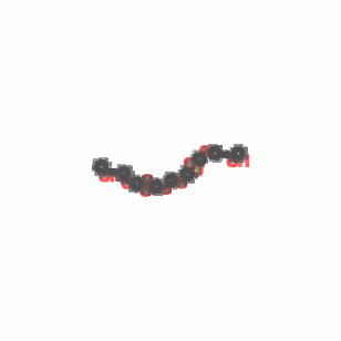 O=S(=O)(c1ccc(Oc2ccc(C#CC3(O)CCCCC3)cc2)cc1)c1ccc(Oc2cccc(Oc3ccc(S(=O)(=O)c4ccc(Oc5cccc(C#CC6(O)CCCCC6)c5)cc4)cc3)c2)cc1